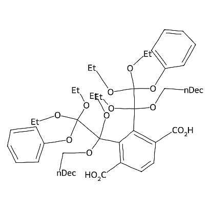 CCCCCCCCCCCOC(OCC)(c1c(C(=O)O)ccc(C(=O)O)c1C(OCC)(OCCCCCCCCCCC)C(OCC)(OCC)Oc1ccccc1)C(OCC)(OCC)Oc1ccccc1